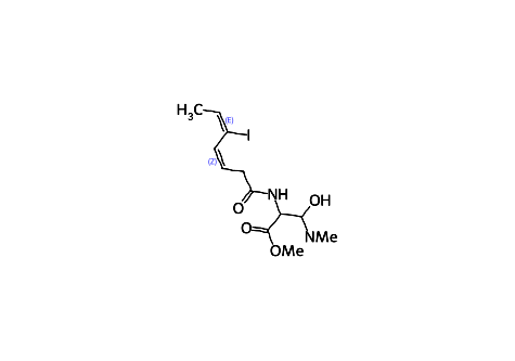 C/C=C(I)\C=C/CC(=O)NC(C(=O)OC)C(O)NC